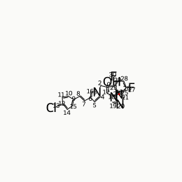 OC(Cn1ccc(C=Cc2ccc(Cl)cc2)c1)(Cn1cncn1)c1ccc(F)cc1F